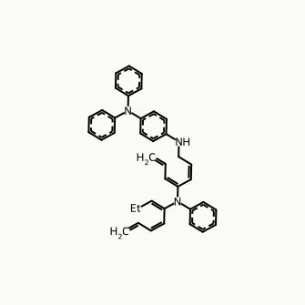 C=C/C=C\C(=C/CC)N(C(/C=C\CNc1ccc(N(c2ccccc2)c2ccccc2)cc1)=C/C=C)c1ccccc1